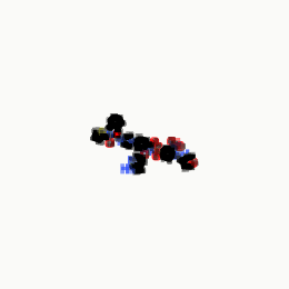 O=C(NS(=O)(=O)c1ccc(NCC2CCOCC2)c([N+](=O)[O-])c1)c1ccc(N2CCN(C[C@H]3Cc4ccccc4CN3C(=O)c3cccs3)CC2)cc1Oc1cnc2[nH]ccc2c1